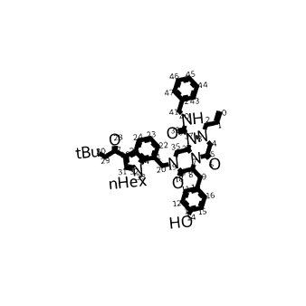 C=CCN1CC(=O)N2C(Cc3ccc(O)cc3)C(=O)N(Cc3cccc4c(C(=O)CC(C)(C)C)cn(CCCCCC)c34)CC2N1C(=O)NCc1ccccc1